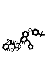 CC(C)(C)c1ccc(Oc2ccc3cc(C(=O)NC(C(=O)O)C4=CSC5C=CC=CC45)nc(CC4CCCC4)c3c2)cc1